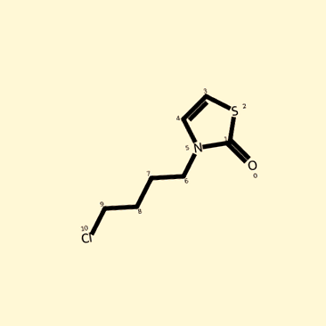 O=c1sccn1CCCCCl